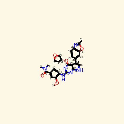 COc1cc(C(=O)N(C)C)ccc1Nc1nc(O[C@@H]2CCOC2)c2c(-c3ccc4nc(C)oc4c3)c[nH]c2n1